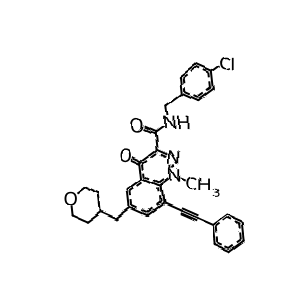 Cn1nc(C(=O)NCc2ccc(Cl)cc2)c(=O)c2cc(CC3CCOCC3)cc(C#Cc3ccccc3)c21